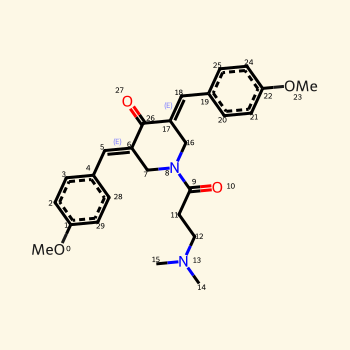 COc1ccc(/C=C2\CN(C(=O)CCN(C)C)C/C(=C\c3ccc(OC)cc3)C2=O)cc1